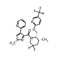 C[C@@H]1CC(F)(F)CN(C(=O)c2nn(C)cc2-c2ccccn2)[C@@H]1COc1ccc(C(F)(F)F)cn1